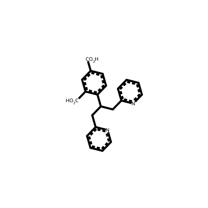 O=C(O)c1ccc(C(Cc2ccccn2)Cc2ccccn2)c(C(=O)O)c1